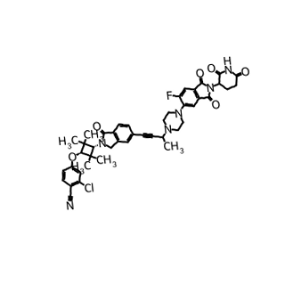 CC(C#Cc1ccc2c(c1)CN([C@H]1C(C)(C)[C@H](Oc3ccc(C#N)c(Cl)c3)C1(C)C)C2=O)N1CCN(c2cc3c(cc2F)C(=O)N(C2CCC(=O)NC2=O)C3=O)CC1